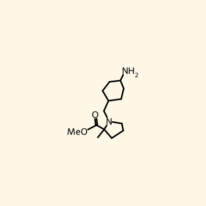 COC(=O)C1(C)CCCN1CC1CCC(N)CC1